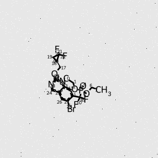 CCOP(=O)(OCC)C(F)(F)c1cc2nc(OC[C@H]3CC3(F)F)ncc2cc1Br